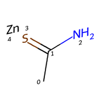 CC(N)=S.[Zn]